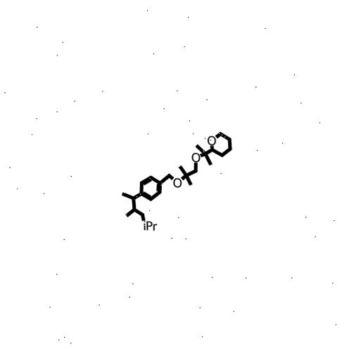 CC(C)CC(C)C(C)c1ccc(COC(C)(C)COC(C)(C)C2CCCCO2)cc1